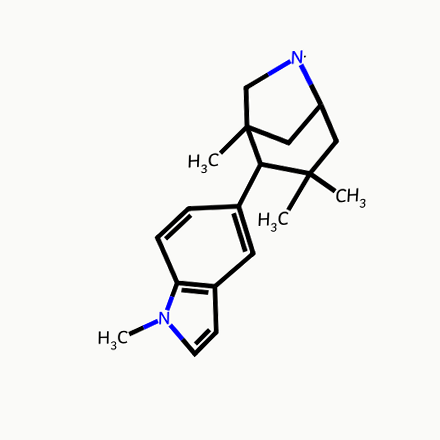 Cn1ccc2cc(C3C(C)(C)CC4CC3(C)C[N]4)ccc21